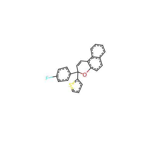 Fc1ccc(C2(c3cccs3)C=Cc3c(ccc4ccccc34)O2)cc1